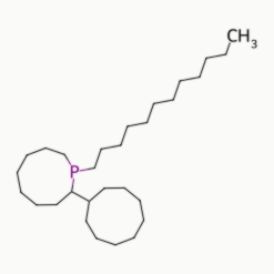 CCCCCCCCCCCCP1CCCCCCCC1C1CCCCCCCC1